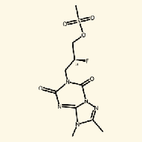 Cc1nn2c(=O)n(C[C@H](F)COS(C)(=O)=O)c(=O)nc2n1C